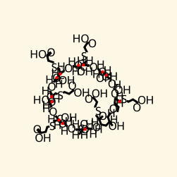 CC[C@@H]1O[C@H]2O[C@H](CSCCC(=O)O)[C@H](C[C@H]2O)O[C@H]2O[C@H](C)[C@H](C[C@H]2O)O[C@H]2O[C@H](CSCCC(=O)O)[C@H](C[C@H]2O)O[C@H]2O[C@H](CSCCC(=O)O)[C@H](C[C@H]2O)O[C@H]2O[C@H](CSCCC(=O)O)[C@H](C[C@H]2O)O[C@H]2O[C@H](CSCCC(=O)O)[C@H](C[C@H]2O)O[C@H]2O[C@H](C)[C@H](C[C@H]2O)O[C@H](O)O[C@@H]1CSCCC(=O)O